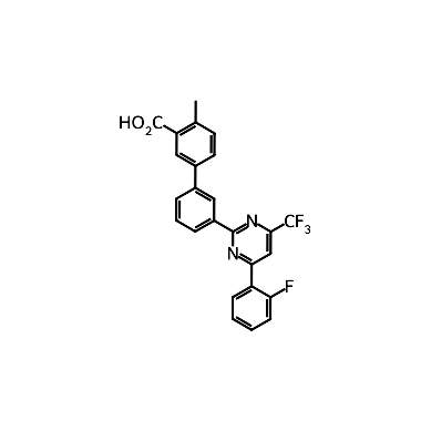 Cc1ccc(-c2cccc(-c3nc(-c4ccccc4F)cc(C(F)(F)F)n3)c2)cc1C(=O)O